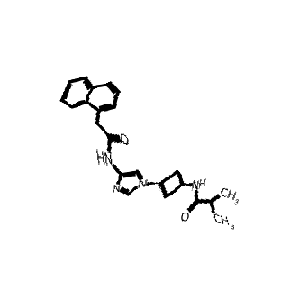 CC(C)C(=O)N[C@H]1C[C@@H](n2cnc(NC(=O)Cc3cccc4ccccc34)c2)C1